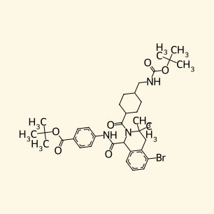 CC(C)(C)OC(=O)NCC1CCC(C(=O)N2C(C(=O)Nc3ccc(C(=O)OC(C)(C)C)cc3)c3cccc(Br)c3CC2(C)C)CC1